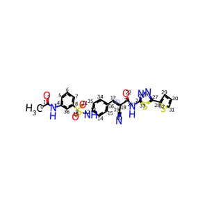 CC(=O)Nc1cccc(S(=O)(=O)Nc2ccc(/C=C(\C#N)C(=O)Nc3nnc(-c4cccs4)s3)cc2)c1